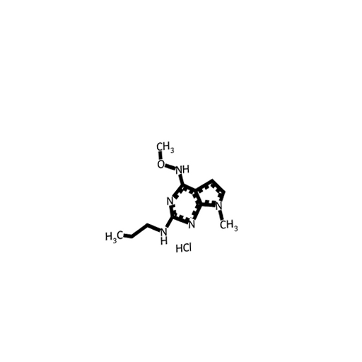 CCCNc1nc(NOC)c2ccn(C)c2n1.Cl